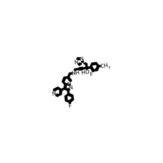 Cc1ccc(C(O)(C#CCNCc2ccc3c(-c4ccncc4)c(-c4ccc(F)cc4)nn3c2)Cn2cncn2)c(F)c1